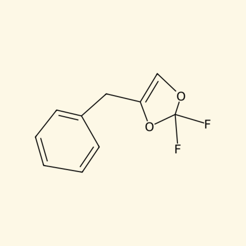 FC1(F)OC=C(Cc2ccccc2)O1